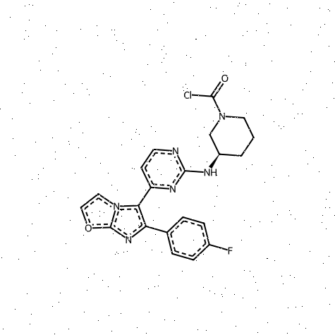 O=C(Cl)N1CCC[C@@H](Nc2nccc(-c3c(-c4ccc(F)cc4)nc4occn34)n2)C1